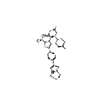 COC(=O)C1SC(c2ccc(-c3cn4ncccc4n3)cc2)=CC1C1=C(C2CCC(C)CC2)CN(C)CC1